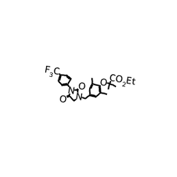 CCOC(=O)C(C)(C)Oc1c(C)cc(CN2CC(=O)N(c3ccc(C(F)(F)F)cc3)C2=O)cc1C